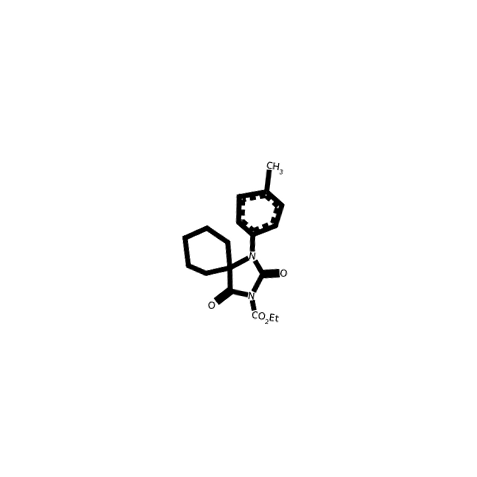 CCOC(=O)N1C(=O)N(c2ccc(C)cc2)C2(CCCCC2)C1=O